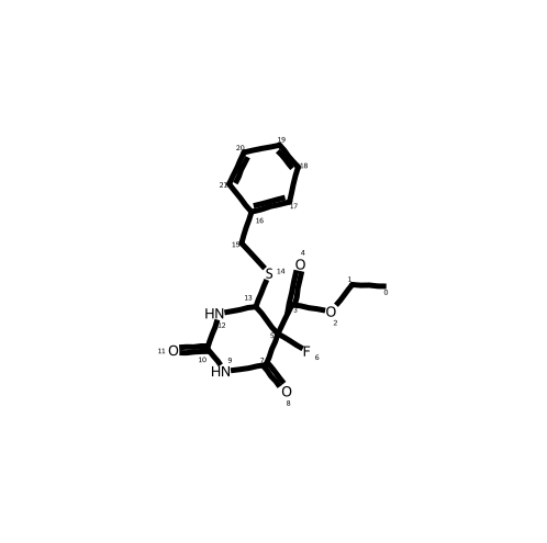 CCOC(=O)C1(F)C(=O)NC(=O)NC1SCc1ccccc1